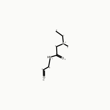 CCN(C)CC(=O)NC[C]=O